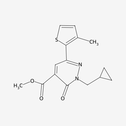 COC(=O)c1cc(-c2sccc2C)nn(CC2CC2)c1=O